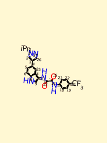 CC(C)n1cc(-c2ccc3[nH]cc(NC(=O)C(=O)Nc4ccc(C(F)(F)F)cc4)c3c2)cn1